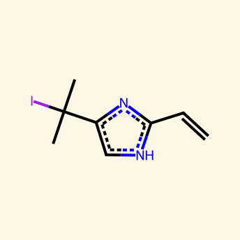 C=Cc1nc(C(C)(C)I)c[nH]1